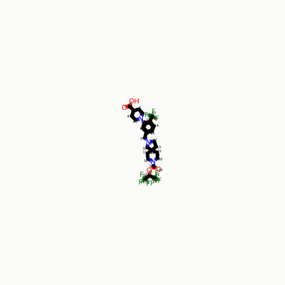 O=C(O)C1CCN(c2cc(CN3CCC4(CCN(C(=O)OC(C(F)(F)F)C(F)(F)F)CC4)C3)ccc2C(F)(F)F)CC1